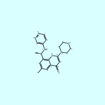 Cc1cc([C@@H](C)Nc2ccnnc2)c2oc(N3CCOCC3)cc(=O)c2c1